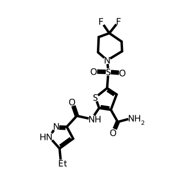 CCc1cc(C(=O)Nc2sc(S(=O)(=O)N3CCC(F)(F)CC3)cc2C(N)=O)n[nH]1